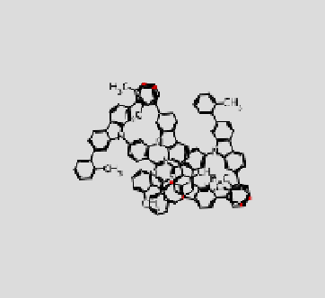 Cc1ccccc1-c1ccc2c3ccc(-c4ccccc4C)cc3n(-c3ccc(-c4nc(-c5ccccc5)nc(-c5ccc(-n6c7cc(-c8ccccc8C)ccc7c7ccc(-c8ccccc8C)cc76)cc5-n5c6cc(-c7ccccc7C)ccc6c6ccc(-c7ccccc7C)cc65)n4)c(-n4c5cc(-c6ccccc6C)ccc5c5ccc(-c6ccccc6C)cc54)c3)c2c1